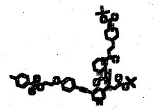 Cc1ccc(S(=O)(=O)OCCOc2ccc(C#Cc3cncc([C@H](CC(=O)OC(C)(C)C)NC(=O)[C@@H]4CCCN(C(=O)CCC5CCN(C(=O)OC(C)(C)C)CC5)C4)c3)cc2)cc1